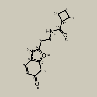 O=C1C=Cc2nc(CCNC(=O)C3CCC3)oc2C1